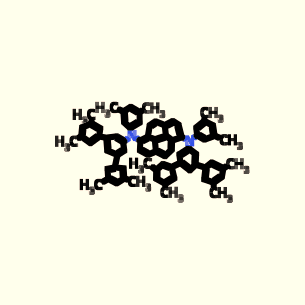 Cc1cc(C)cc(-c2cc(-c3cc(C)cc(C)c3)cc(N(c3cc(C)cc(C)c3)c3ccc4ccc5c(N(c6cc(C)cc(C)c6)c6cc(-c7cc(C)cc(C)c7)cc(-c7cc(C)cc(C)c7)c6)ccc6ccc3c4c65)c2)c1